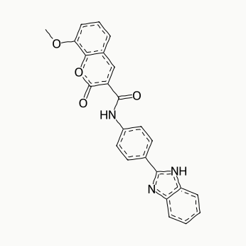 COc1cccc2cc(C(=O)Nc3ccc(-c4nc5ccccc5[nH]4)cc3)c(=O)oc12